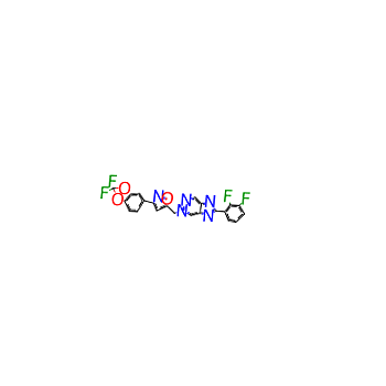 Fc1cccc(-c2nc3cnn(Cc4cc(-c5ccc6c(c5)OC(F)(F)O6)no4)cc-3n2)c1F